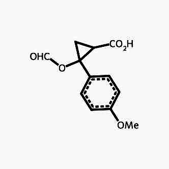 COc1ccc(C2(OC=O)CC2C(=O)O)cc1